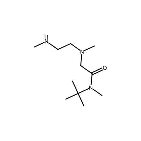 CNCCN(C)CC(=O)N(C)C(C)(C)C